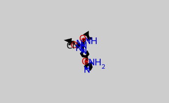 CC(NC(=O)c1nc(OCC2(C#N)CC2)nc(N2CCC(COc3cnccc3N)CC2)n1)C1CC1